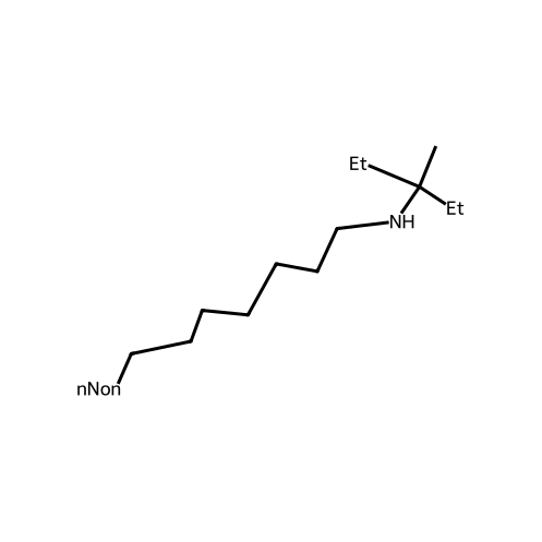 CCCCCCCCCCCCCCCCNC(C)(CC)CC